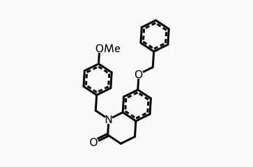 COc1ccc(CN2C(=O)CCc3ccc(OCc4ccccc4)cc32)cc1